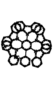 N#Cc1ccccc1-c1c(-n2c3ccccc3c3ccccc32)c(-n2c3ccccc3c3ccncc32)c(-n2c3ccccc3c3ccccc32)c(-n2c3ccccc3c3cccnc32)c1-n1c2ccccc2c2ccccc21